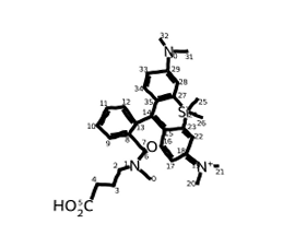 CN(CCCC(=O)O)C(=O)c1ccccc1C1=C2C=CC(=[N+](C)C)C=C2[Si](C)(C)c2cc(N(C)C)ccc21